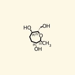 C[C@@H]1O[C@@H](CO)[C@H](O)CC[C@H]1O